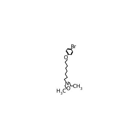 CC1CN(CCCCCCCCOc2ccc(Br)cc2)CC(C)O1